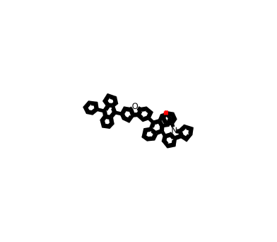 C1=Cc2c(c(-c3ccc4oc5cc(-c6c7ccccc7c(-c7ccccc7)c7ccccc67)ccc5c4c3)c3ccccc3c2-c2cccc3c4ccccc4n(-c4ccccc4)c23)CC1